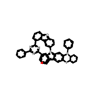 c1ccc(-c2nc(-c3ccccc3)nc(-c3cccc4oc5ccc(-n6c7ccccc7c7cc8c(cc76)N(c6ccccc6)c6ccccc6S8)cc5c34)n2)cc1